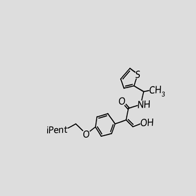 CCCC(C)COc1ccc(C(=CO)C(=O)NC(C)c2cccs2)cc1